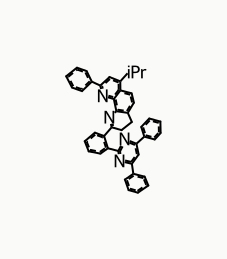 CC(C)c1cc(-c2ccccc2)nc2c3c(ccc12)CCC(c1ccccc1-c1nc(-c2ccccc2)cc(-c2ccccc2)n1)=N3